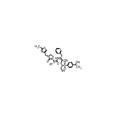 Cc1nc(CN2CCN([C@H](C(=O)N[C@@H](Cc3ccccc3)[C@H](O)CN(CC(C)C)S(=O)(=O)c3ccc(C(C)O)cc3)C(C)C)C2=O)cs1